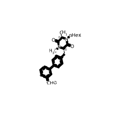 CCCCCCN1C(=O)[C@H](Cc2ccc(-c3cccc(C=O)c3)cc2)N(C)C(=O)[C@@H]1C